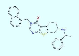 CC(NC1CCc2c(sc3ncn(Cc4cccc5ccccc45)c(=O)c23)C1)c1ccccc1